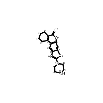 O=c1oc2cc3oc(N4CCNCC4)nc3cc2c2c1CCCC2